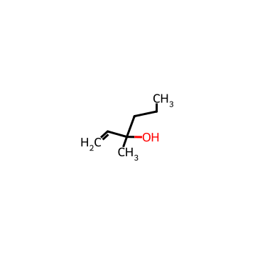 C=CC(C)(O)CCC